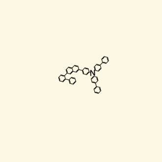 c1ccc(-c2ccc(N(c3ccc(-c4ccccc4)cc3)c3ccc(-c4ccc5ccc(-c6ccccc6-c6ccccc6)cc5c4)cc3)cc2)cc1